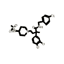 CC(CCN1CCC(NS(C)(=O)=O)CC1)(C(=O)NCc1ccc(C#N)cc1)c1ccc(Cl)c(Cl)c1